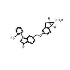 O=C(O)[C@H]1[C@@H]2Cc3cc(OCc4ccc5c(Br)cn(-c6ccccc6C(F)(F)F)c5c4)ncc3[C@@H]21